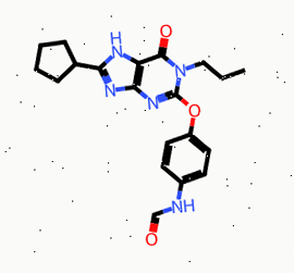 CCCn1c(Oc2ccc(NC=O)cc2)nc2nc(C3CCCC3)[nH]c2c1=O